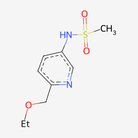 CCOCc1ccc(NS(C)(=O)=O)cn1